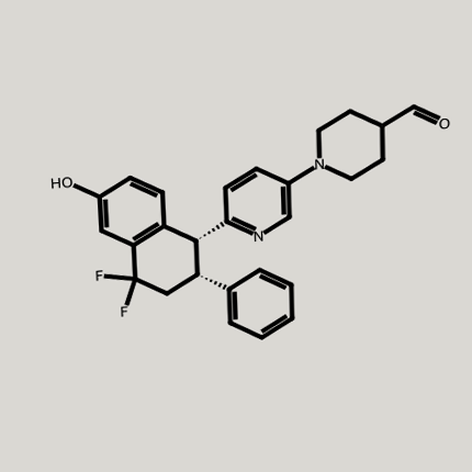 O=CC1CCN(c2ccc([C@H]3c4ccc(O)cc4C(F)(F)C[C@H]3c3ccccc3)nc2)CC1